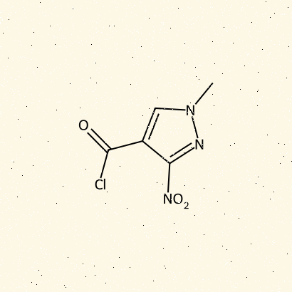 Cn1cc(C(=O)Cl)c([N+](=O)[O-])n1